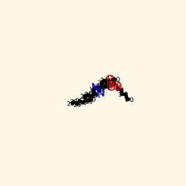 CCCCCCOC(=O)C(C)Oc1ccc(-c2ncc(-c3ccc(CCCCC)cc3)cn2)cc1